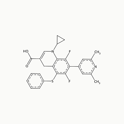 Cc1cc(-c2c(F)c(Sc3ccccc3)c3c(c2F)N(C2CC2)C=C(C(=O)O)C3)cc(C)n1